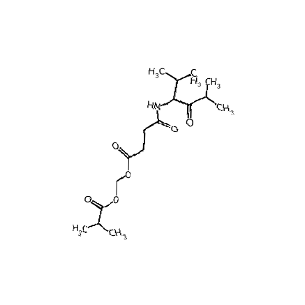 CC(C)C(=O)OCOC(=O)CCC(=O)NC(C(=O)C(C)C)C(C)C